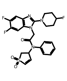 O=C(Cn1c(N2CCC(F)CC2)nc2cc(F)c(F)cc21)N(c1ccccc1)C1C=CS(=O)(=O)C1